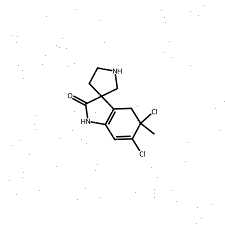 CC1(Cl)CC2=C(C=C1Cl)NC(=O)C21CCNC1